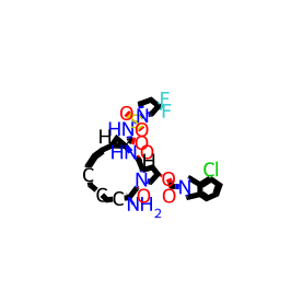 N[C@H]1CCCCCC=C=C[C@@H]2C[C@@]2(C(=O)NS(=O)(=O)N2CCC(F)(F)C2)NC(=O)[C@@H]2C[C@@H](OC(=O)N3Cc4cccc(Cl)c4C3)CN2C1=O